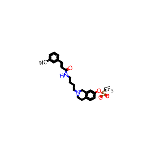 N#Cc1cccc(C=CC(=O)NCCCCN2CCc3ccc(OS(=O)(=O)C(F)(F)F)cc3C2)c1